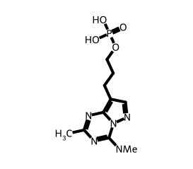 CNc1nc(C)nc2c(CCCOP(=O)(O)O)cnn12